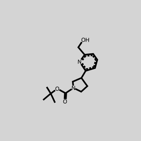 CC(C)(C)OC(=O)N1CCC(c2cccc(CO)n2)C1